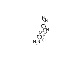 Cn1cncc1-c1ccc2c(Oc3ccc(N)c(Cl)c3F)ccnc2c1